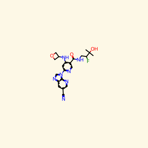 CC(C)(O)C(F)CNC(=O)c1cnc(-n2cnc3cc(C#N)cnc32)cc1NC1COC1